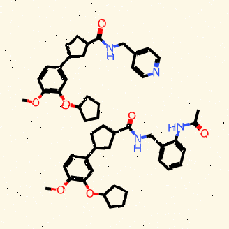 COc1ccc(C2CCC(C(=O)NCc3ccccc3NC(C)=O)C2)cc1OC1CCCC1.COc1ccc(C2CCC(C(=O)NCc3ccncc3)C2)cc1OC1CCCC1